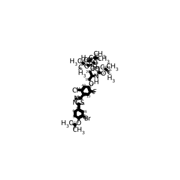 CC(C)Oc1ccc(-c2nnc(-c3cc(F)c(OCC(COP(=O)(OC(C)(C)C)OC(C)(C)C)NC(=O)OC(C)(C)C)cc3Cl)s2)cc1Br